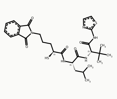 CC(C)C[C@H](NC(=O)[C@@H](S)CCCN1C(=O)c2ccccc2C1=O)C(=O)N[C@H](C(=O)Nc1nccs1)C(C)(C)C